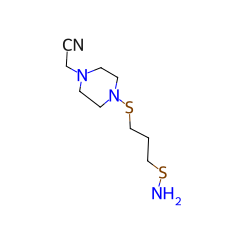 N#CCN1CCN(SCCCSN)CC1